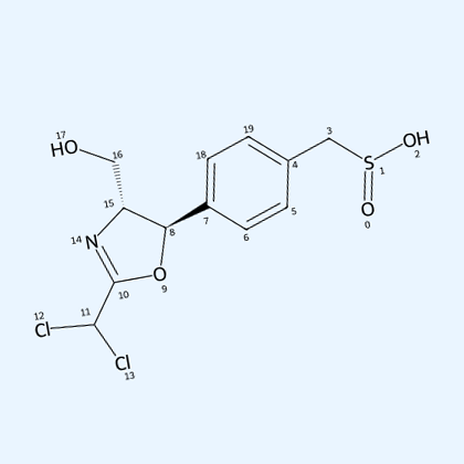 O=S(O)Cc1ccc([C@H]2OC(C(Cl)Cl)=N[C@@H]2CO)cc1